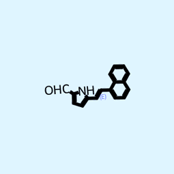 O=Cc1ccc(/C=C/c2cccc3ccccc23)[nH]1